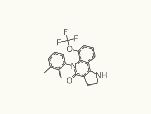 Cc1cccc(-n2c(=O)c3c(c4cccc(OC(F)(F)F)c42)NCC3)c1C